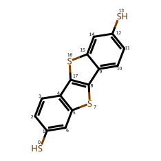 Sc1ccc2c(c1)sc1c3ccc(S)cc3sc21